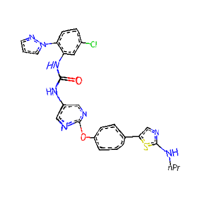 CCCNc1ncc(-c2ccc(Oc3ncc(NC(=O)Nc4cc(Cl)ccc4-n4cccn4)cn3)cc2)s1